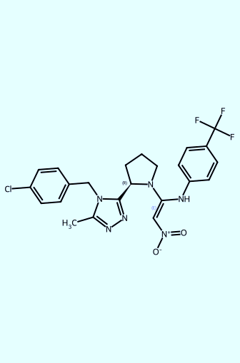 Cc1nnc([C@H]2CCCN2/C(=C/[N+](=O)[O-])Nc2ccc(C(F)(F)F)cc2)n1Cc1ccc(Cl)cc1